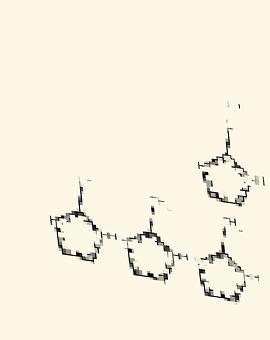 Cc1ncc[nH]1.Cc1ncc[nH]1.Cc1ncc[nH]1.Cc1ncc[nH]1.[Cu]